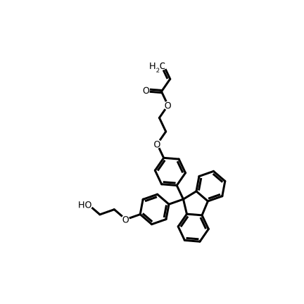 C=CC(=O)OCCOc1ccc(C2(c3ccc(OCCO)cc3)c3ccccc3-c3ccccc32)cc1